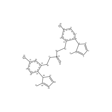 CC1=CC=CC1c1ccc(Cl)cc1CCC(=O)CCc1cc(Cl)ccc1C1C=CC=C1C